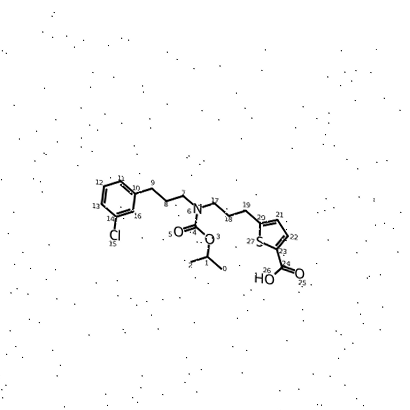 CC(C)OC(=O)N(CCCc1cccc(Cl)c1)CCCc1ccc(C(=O)O)s1